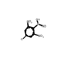 O=NN(O)c1c([N+](=O)[O-])cc(Cl)cc1[N+](=O)[O-]